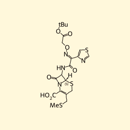 CSCC1=C(C(=O)O)N2C(=O)C(NC(=O)C(=NOCC(=O)OC(C)(C)C)c3cscn3)[C@@H]2SC1